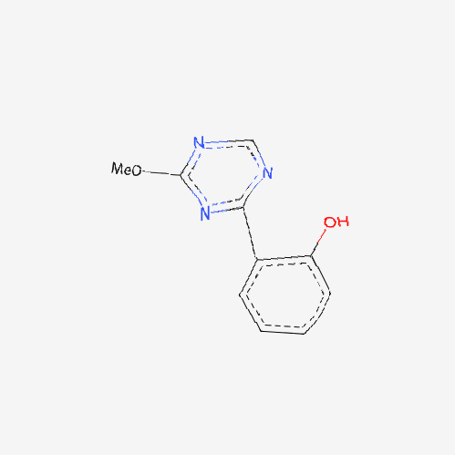 COc1ncnc(-c2ccccc2O)n1